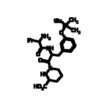 CC(C)C(N)C(=O)NC(Cc1cccc(O[Si](C)(C)C(C)(C)C)c1)C(=O)N1CCCC(C(=O)O)N1